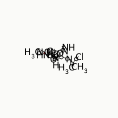 CN1CCC(CNc2ccc(S(=O)(=O)NC(=O)c3ccc(C4=CCN(CC5=C(c6ccc(Cl)cc6)CC(C)(C)CC5)CC4)cc3Oc3cnc4[nH]ccc4c3)cc2[N+](=O)[O-])CC1